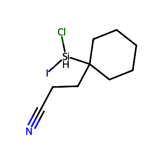 N#CCCC1([SiH](Cl)I)CCCCC1